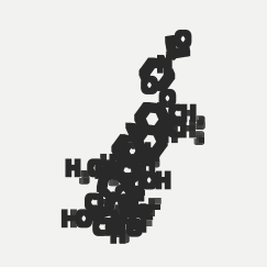 C[C@@H]1C[C@H]([C@H](NS(=O)(=O)C(F)(F)F)C(C)(C)O)O[C@H]2[C@H]1[C@@]1(C)CC[C@@]34CC35CCC(O[C@H]3CN(C6COC6)CCO3)C(C)(C)[C@@H]5CC[C@H]4[C@]1(C)[C@H]2O